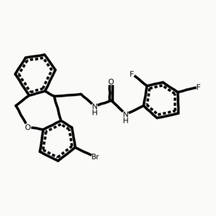 O=C(NCC1c2ccccc2COc2ccc(Br)cc21)Nc1ccc(F)cc1F